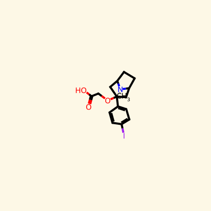 CN1C2CCC1CC(OCC(=O)O)(c1ccc(I)cc1)C2